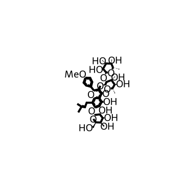 COc1ccc(-c2oc3c(CC=C(C)C)c(O[C@@H]4O[C@H](CO)[C@H](O)[C@H](O)[C@H]4O)cc(O)c3c(=O)c2O[C@@H]2O[C@@H](C)[C@@H](O)[C@@H](O)[C@H]2O[C@@H]2O[C@@H](C)[C@@H](O)[C@@H](O)[C@H]2O)cc1